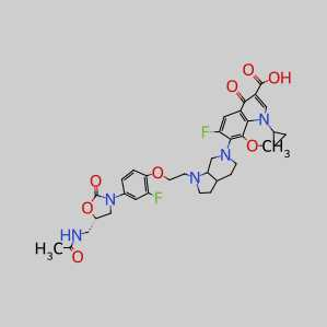 COc1c(N2CCC3CCN(CCOc4ccc(N5C[C@H](CNC(C)=O)OC5=O)cc4F)C3C2)c(F)cc2c(=O)c(C(=O)O)cn(C3CC3)c12